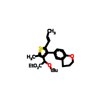 CC=Cc1sc(C)c(C(OC(C)(C)C)C(=O)OCC)c1-c1ccc2c(c1)CCCO2